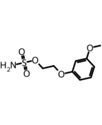 COc1cccc(OCCOS(N)(=O)=O)c1